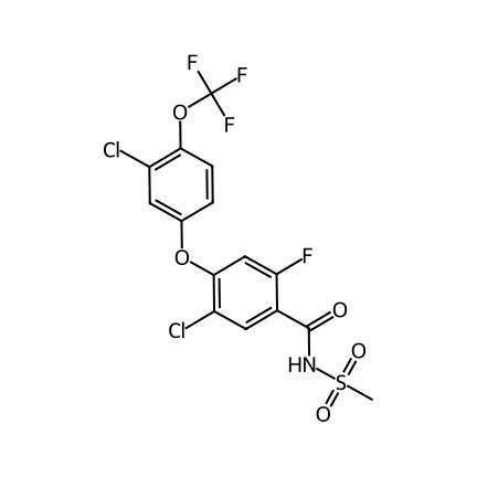 CS(=O)(=O)NC(=O)c1cc(Cl)c(Oc2ccc(OC(F)(F)F)c(Cl)c2)cc1F